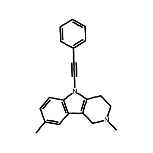 Cc1ccc2c(c1)c1c(n2C#Cc2ccccc2)CCN(C)C1